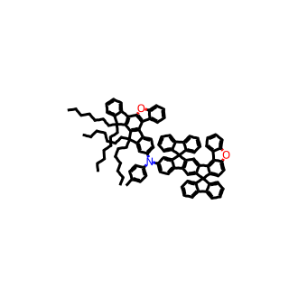 CCCCCCCC1(CCCCCCC)c2ccccc2-c2c1c1c(c3c2oc2ccccc23)-c2ccc(N(c3ccc(C)cc3)c3ccc4c(c3)C3(c5ccccc5-c5ccccc53)c3cc5c(cc3-4)C3(c4ccccc4-c4ccccc43)c3ccc4oc6ccccc6c4c3-5)cc2C1(CCCCCCC)CCCCCCC